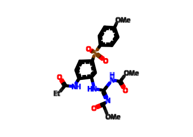 CCC(=O)Nc1ccc(S(=O)(=O)c2ccc(OC)cc2)cc1NC(=NC(=O)OC)NC(=O)OC